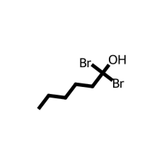 CCCCCC(O)(Br)Br